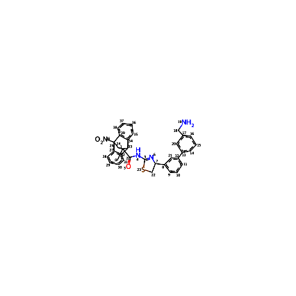 CC1(C(=O)NC2=NC(c3cccc(-c4cccc(CN)c4)c3)CS2)CC2([N+](=O)[O-])c3ccccc3C1c1ccccc12